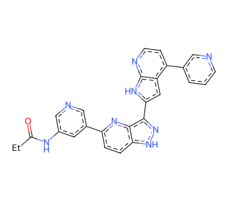 CCC(=O)Nc1cncc(-c2ccc3[nH]nc(-c4cc5c(-c6cccnc6)ccnc5[nH]4)c3n2)c1